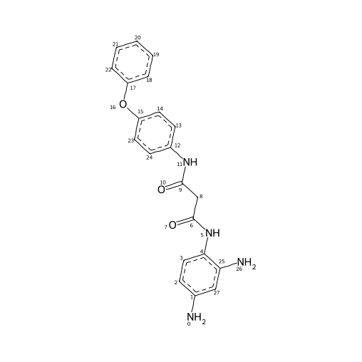 Nc1ccc(NC(=O)CC(=O)Nc2ccc(Oc3ccccc3)cc2)c(N)c1